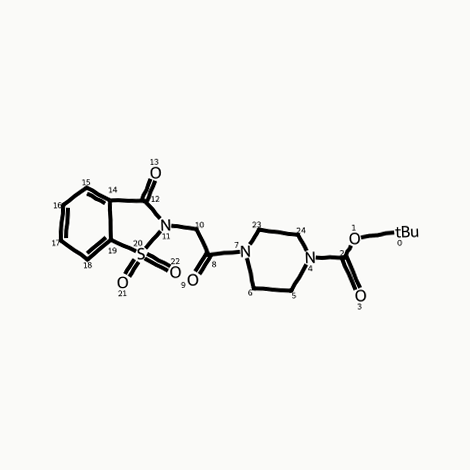 CC(C)(C)OC(=O)N1CCN(C(=O)CN2C(=O)c3ccccc3S2(=O)=O)CC1